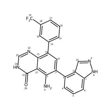 Nc1c(-c2cccc3[nH]ncc23)cc(-c2cccc(C(F)(F)F)c2)c2nc[nH]c(=O)c12